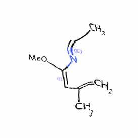 C=C(C)/C=C(\N=C\C)OC